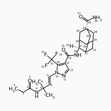 CCC(=O)NC(C)(C)/C=C/n1ncc(C(=O)N[C@H]2C3CC4CC2C[C@](C(N)=O)(C4)C3)c1C(F)(F)F